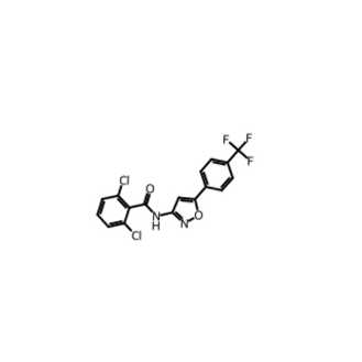 O=C(Nc1cc(-c2ccc(C(F)(F)F)cc2)on1)c1c(Cl)cccc1Cl